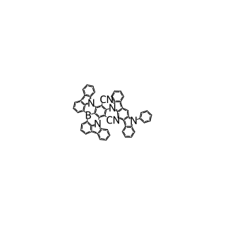 N#Cc1c(-n2c3ccccc3c3cc4c(cc32)c2ccccc2n4-c2ccccc2)c(C#N)c2c3c1-n1c4ccccc4c4cccc(c41)B3c1cccc3c4ccccc4n-2c13